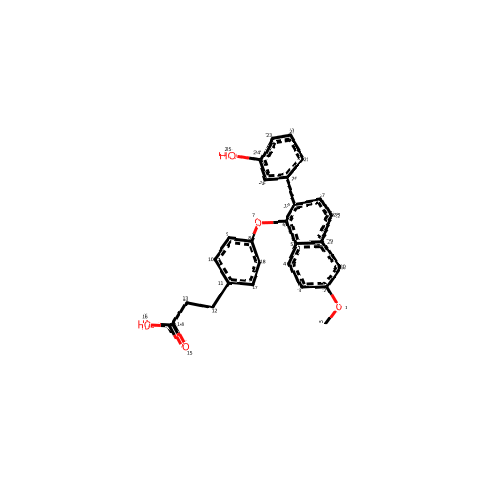 COc1ccc2c(Oc3ccc(CCC(=O)O)cc3)c(-c3cccc(O)c3)ccc2c1